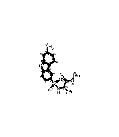 CC(C)[C@@H](NS(=O)(=O)c1ccc2oc3cc(N)ccc3c2c1)C(=O)OC(C)(C)C